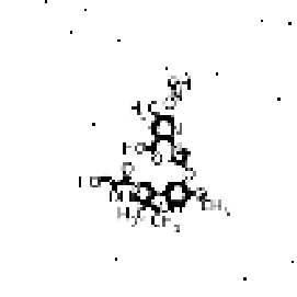 COc1ccc([C@@H]2CN(C(=O)C(O)CO)C[C@@]2(C)C(C)O)cc1OC1CN(c2ncc(C)cc2C(=O)O)C1.O=NO